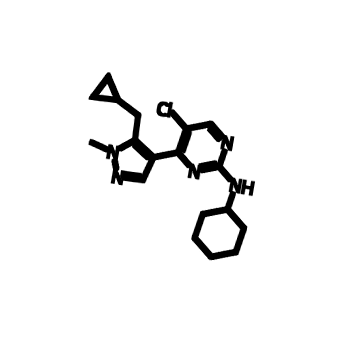 Cn1ncc(-c2nc(NC3CCCCC3)ncc2Cl)c1CC1CC1